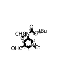 CC[n+]1cc(C=O)cc(NC(=O)OC(C)(C)C)c1.O=C[O-]